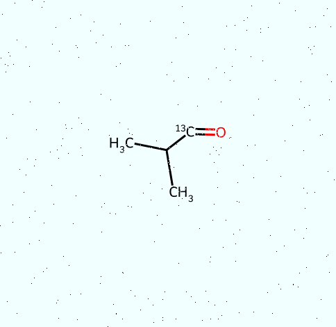 CC(C)[13CH]=O